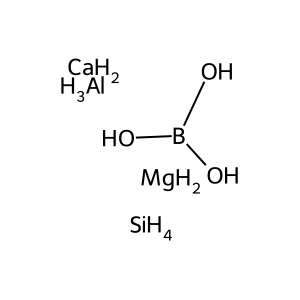 OB(O)O.[AlH3].[CaH2].[MgH2].[SiH4]